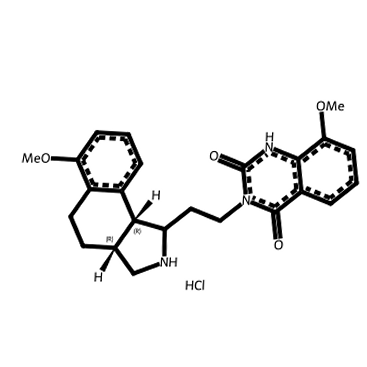 COc1cccc2c1CC[C@H]1CNC(CCn3c(=O)[nH]c4c(OC)cccc4c3=O)[C@@H]21.Cl